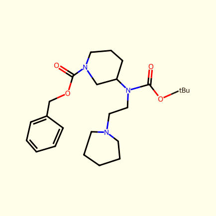 CC(C)(C)OC(=O)N(CCN1CCCCC1)C1CCCN(C(=O)OCc2ccccc2)C1